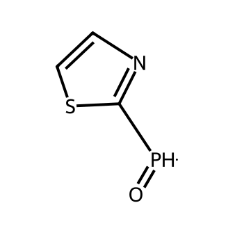 O=[PH]c1nccs1